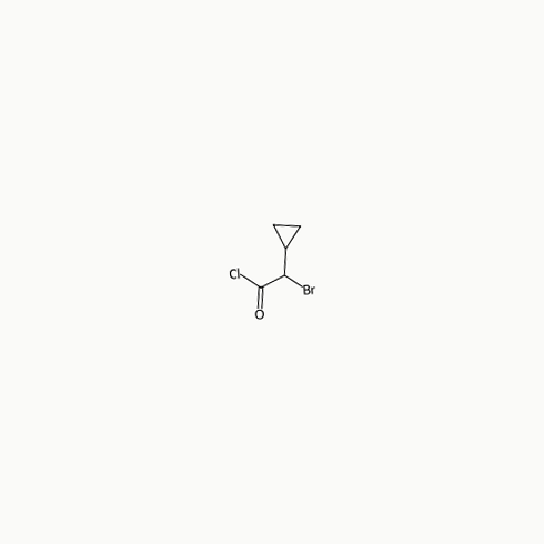 O=C(Cl)C(Br)C1CC1